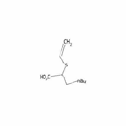 C=CSC(CCCCC)C(=O)O